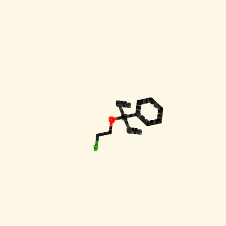 CO[Si](OC)(OCCF)c1ccccc1